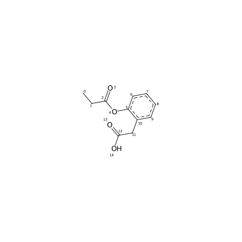 CCC(=O)Oc1ccccc1CC(=O)O